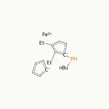 CCCCP[c-]1ccc(CC)c1CC.[Fe+2].c1cc[cH-]c1